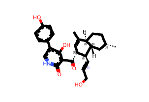 CC1=C[C@@H](C(=O)c2c(O)c(-c3ccc(O)cc3)c[nH]c2=O)[C@H](/C=C/CO)[C@H]2C[C@@H](C)CC[C@H]12